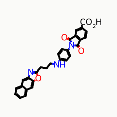 O=C(O)c1ccc2c(c1)C(=O)N(c1ccc(NCCCc3nc4cc5ccccc5cc4o3)cc1)C2=O